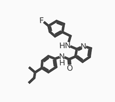 CCC(C)c1ccc(NC(=O)c2cccnc2NCc2ccc(F)cc2)cc1